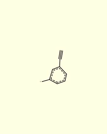 C#Cc1cccc([CH2])c1